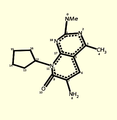 CNc1nc(C)c2cc(N)c(=O)n(C3CCCC3)c2n1